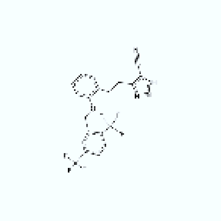 N#Cc1[nH]nnc1CCc1ccccc1OCc1cc(C(F)(F)F)ccc1C(F)(F)F